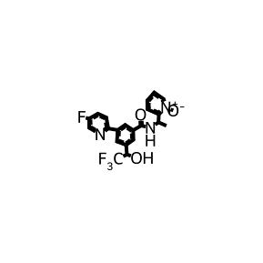 CC(NC(=O)c1cc(-c2ccc(F)cn2)cc(C(O)C(F)(F)F)c1)c1cccc[n+]1[O-]